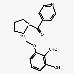 O=Cc1c(O)cccc1OC[C@@H]1CCCN1C(=O)c1ccncc1